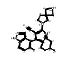 Cc1ccc2[nH]ncc2c1-c1c(C#N)c(N2CCC3(CNC3)C2)nc2c1CCC(C)C2